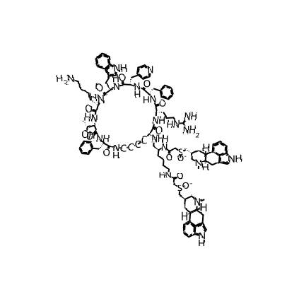 C[C@@H](O)[C@@H]1NC(=O)[C@H](CCCCN)NC(=O)[C@@H](Cc2c[nH]c3ccccc23)NC(=O)[C@H](Cc2ccncc2)NC(=O)[C@H](Cc2ccccc2)NC(=O)[C@H](CCCNC(=N)N)NC(=O)[C@H](NC[C@H](CCCCNC(=O)C[S+]([O-])C[C@@H]2C[C@@H]3c4cccc5[nH]cc(c45)C[C@H]3N(C)C2)NC(=O)C[S+]([O-])C[C@@H]2C[C@@H]3c4cccc5[nH]cc(c45)C[C@H]3N(C)C2)CCCCNC(=O)[C@H](Cc2ccccc2)NC1=O